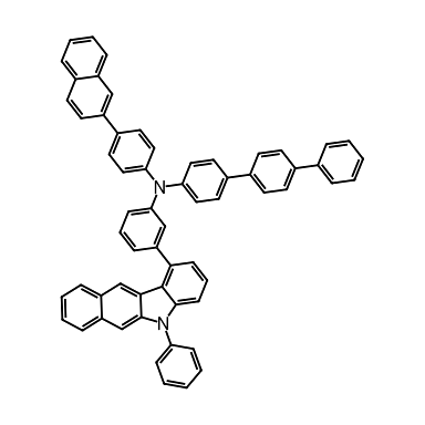 c1ccc(-c2ccc(-c3ccc(N(c4ccc(-c5ccc6ccccc6c5)cc4)c4cccc(-c5cccc6c5c5cc7ccccc7cc5n6-c5ccccc5)c4)cc3)cc2)cc1